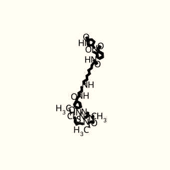 CC[C@@H]1C(=O)N(C)c2cnc(Nc3ccc(C(=O)NCCCNCCCCCCCC(=O)Nc4cccc5c4CN(C4CCC(=O)NC4=O)C5=O)cc3OC)nc2N1Cc1ccc(Cl)s1